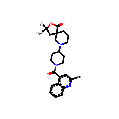 Cc1cc(C(=O)N2CCC(N3CCCC4(C3)CC(C)(C)OC4=O)CC2)c2ccccc2n1